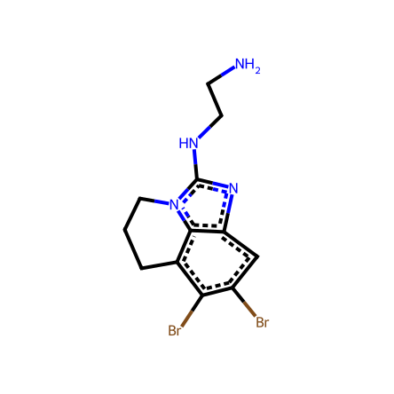 NCCNc1nc2cc(Br)c(Br)c3c2n1CCC3